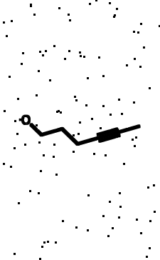 CC#CCCC[O]